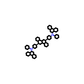 c1ccc(N(c2ccc(-c3cc4c5ccccc5c(-c5ccc(N(c6ccccc6)c6cc7ccccc7c7ccccc67)cc5)cc4c4ccccc34)cc2)c2cc3ccccc3c3ccccc23)cc1